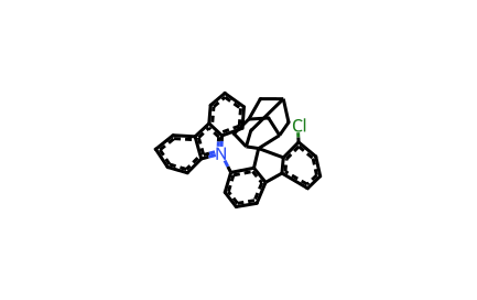 Clc1cccc2c1C1(c3c-2cccc3-n2c3ccccc3c3ccccc32)C2CC3CC(C2)CC1C3